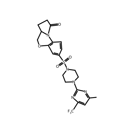 Cc1cc(C(F)(F)F)nc(N2CCN(S(=O)(=O)c3ccc4c(c3)OCC3CCC(=O)N43)CC2)n1